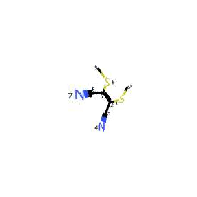 CSC(C#N)=C(C#N)SC